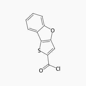 O=C(Cl)c1cc2oc3ccccc3c2s1